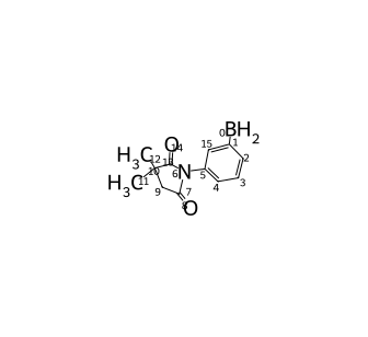 Bc1cccc(N2C(=O)CC(C)(C)C2=O)c1